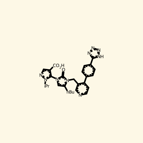 CCCCc1cn(-c2c(C(=O)O)cnn2C(C)C)c(=O)n1Cc1cnccc1-c1ccc(-c2nnn[nH]2)cc1